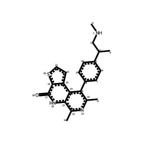 CNCC(C)c1ccc(-c2c(C)nc(C)c3[nH]c(=O)c4sccc4c23)cc1